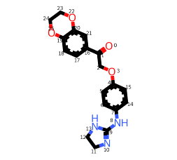 O=C(COc1ccc(NC2=NCCN2)cc1)c1ccc2c(c1)OCCO2